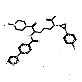 C=C(C)N(CCCC(NC(=O)c1ccc(-n2ccnn2)cc1)C(=O)N1CCN(C)CC1)[C@@H]1C[C@H]1c1ccc(F)cc1